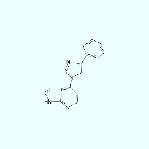 c1ccc(-c2cn(-c3ccnc4[nH]ccc34)cn2)cc1